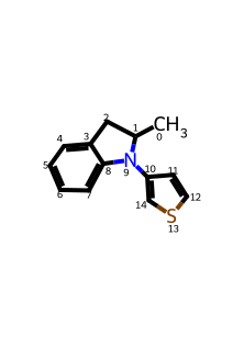 CC1Cc2ccccc2N1c1ccsc1